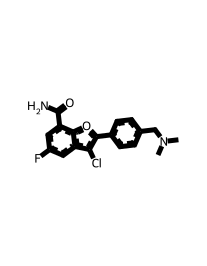 CN(C)Cc1ccc(-c2oc3c(C(N)=O)cc(F)cc3c2Cl)cc1